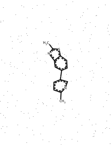 Cc1ccc(-c2ccc3sc(C)nc3c2)cn1